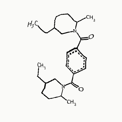 CCC1CCC(C)N(C(=O)c2ccc(C(=O)N3CC(CC)CCC3C)cc2)C1